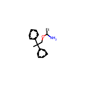 CCC(N)OCC(C)(c1ccccc1)c1ccccc1